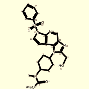 COC(=O)N(C)C1CCC(n2c(CO)nc3cnc4c(ccn4S(=O)(=O)c4ccccc4)c32)CC1